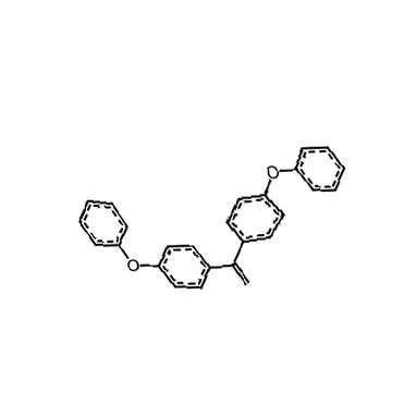 C=C(c1ccc(Oc2ccccc2)cc1)c1ccc(Oc2ccccc2)cc1